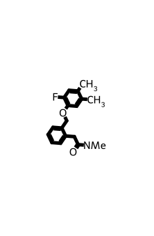 CNC(=O)Cc1ccccc1COc1cc(C)c(C)cc1F